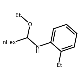 CCCCCCC(Nc1ccccc1CC)OCC